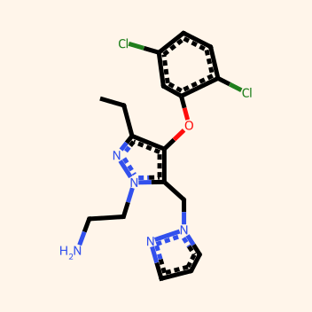 CCc1nn(CCN)c(Cn2cccn2)c1Oc1cc(Cl)ccc1Cl